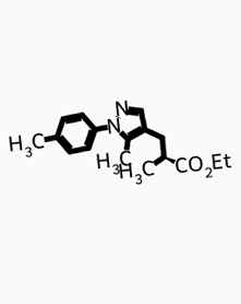 CCOC(=O)[C@@H](C)Cc1cnn(-c2ccc(C)cc2)c1C